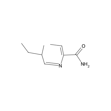 C/C=C(\N=C/C(C)CC)C(N)=O